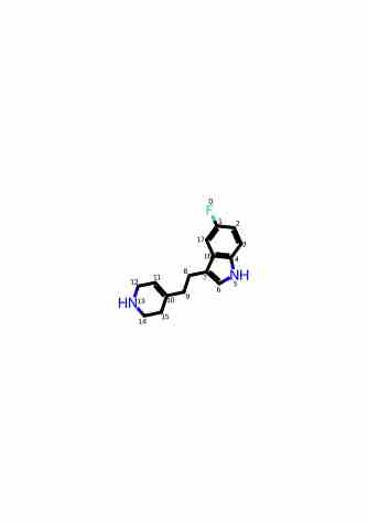 Fc1ccc2[nH]cc(CCC3=CCNCC3)c2c1